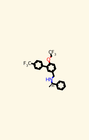 C[C@@H](NCc1ccc(OCC(F)(F)F)c(-c2ccc(C(F)(F)F)cc2)c1)c1ccccc1